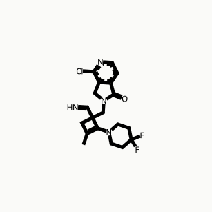 CC1=C(N2CCC(F)(F)CC2)C(C=N)(CN2Cc3c(ccnc3Cl)C2=O)C1